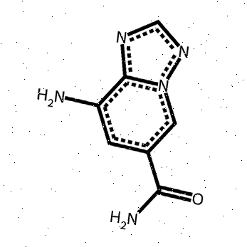 NC(=O)c1cc(N)c2ncnn2c1